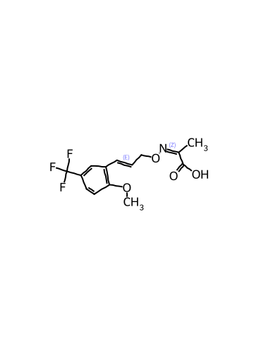 COc1ccc(C(F)(F)F)cc1/C=C/CO/N=C(/C)C(=O)O